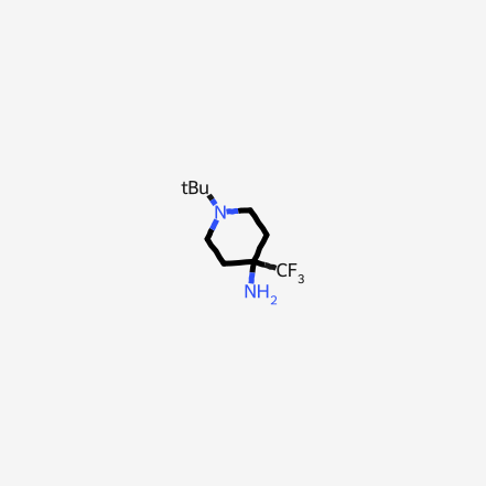 CC(C)(C)N1CCC(N)(C(F)(F)F)CC1